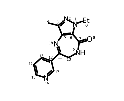 CCn1nc(C)c2c1C(=O)NCC(c1cccnc1)=N2